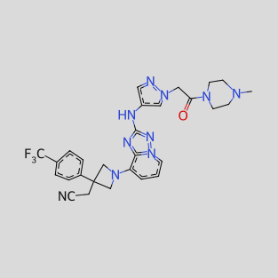 CN1CCN(C(=O)Cn2cc(Nc3nc4c(N5CC(CC#N)(c6ccc(C(F)(F)F)cc6)C5)cccn4n3)cn2)CC1